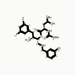 CCCCC(O)C[C@@H](NC(=O)NC)C(=O)O[C@H](CNCc1cccc(CC)c1)[C@@H](N)Cc1cc(F)cc(F)c1